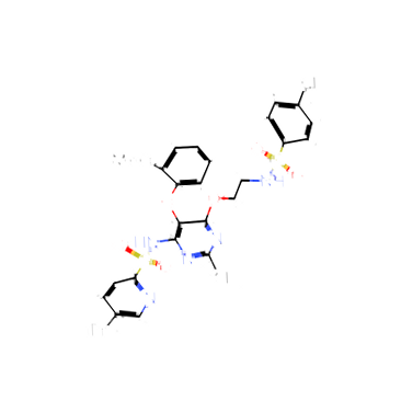 COc1ccccc1Oc1c(NS(=O)(=O)c2ccc(C(C)C)cn2)nc(C(F)(F)F)nc1OCCNS(=O)(=O)c1ccc(C)cc1